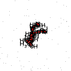 Cc1nnc(NC(=O)CCCc2cn(CCCC[C@H](NC(=O)C[C@H](NC(=O)C[C@H](NC(=O)CCC(C)(c3ccc(O)cc3)c3ccc(O)cc3)C(=O)O)C(=O)O)C(=O)NCCOCCOCCNC(=O)c3ccc(I)cc3)nn2)s1